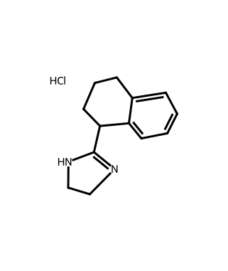 Cl.c1ccc2c(c1)CCCC2C1=NCCN1